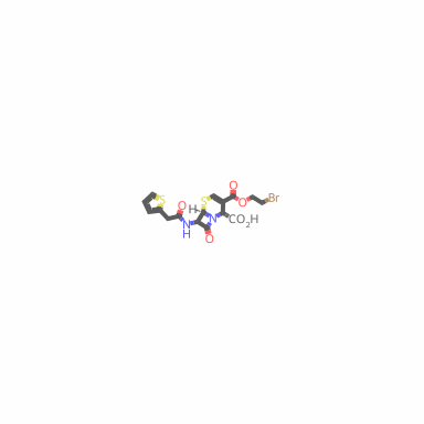 O=C(Cc1cccs1)NC1C(=O)N2C(C(=O)O)C(C(=O)OCCBr)=CS[C@H]12